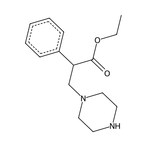 CCOC(=O)C(CN1CCNCC1)c1ccccc1